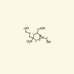 O=[N+]([O-])C1(CCCO)CC(CO)N2C(CO)C2C1